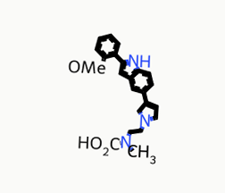 COc1ccccc1-c1cc2cc(C3=CCN(CCN(C)C(=O)O)C3)ccc2[nH]1